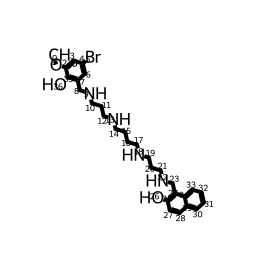 COc1cc(Br)cc(CNCCCNCCCCNCCCNCc2c(O)ccc3ccccc23)c1O